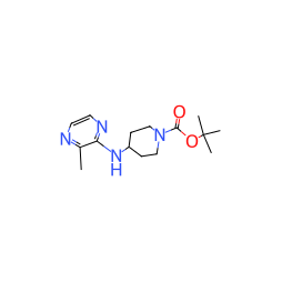 Cc1nccnc1NC1CCN(C(=O)OC(C)(C)C)CC1